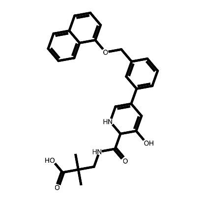 CC(C)(CNC(=O)C1NC=C(c2cccc(COc3cccc4ccccc34)c2)C=C1O)C(=O)O